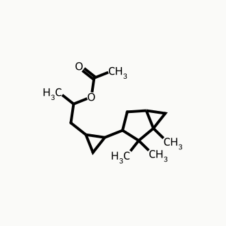 CC(=O)OC(C)CC1CC1C1CC2CC2(C)C1(C)C